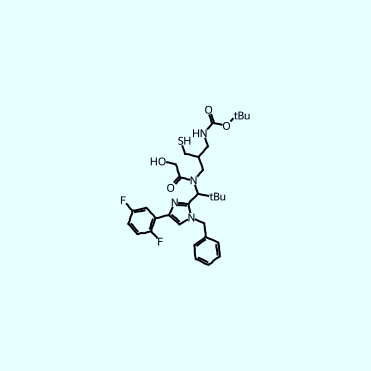 CC(C)(C)OC(=O)NCC(CS)CN(C(=O)CO)C(c1nc(-c2cc(F)ccc2F)cn1Cc1ccccc1)C(C)(C)C